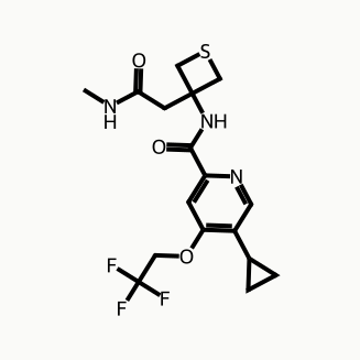 CNC(=O)CC1(NC(=O)c2cc(OCC(F)(F)F)c(C3CC3)cn2)CSC1